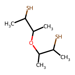 CC(S)C(C)OC(C)C(C)S